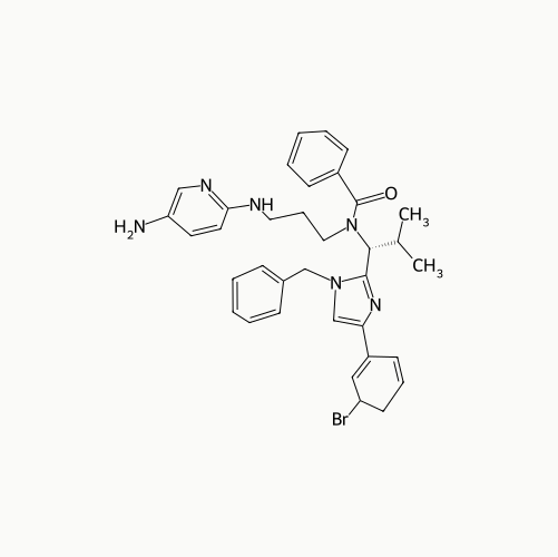 CC(C)[C@H](c1nc(C2=CC(Br)CC=C2)cn1Cc1ccccc1)N(CCCNc1ccc(N)cn1)C(=O)c1ccccc1